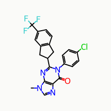 Cn1cnc2c(=O)n(-c3ccc(Cl)cc3)c(C3Cc4ccc(C(F)(F)F)cc4C3)nc21